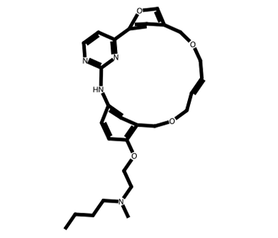 CCCCN(C)CCOc1ccc2cc1COC/C=C/COCc1coc(c1)-c1ccnc(n1)N2